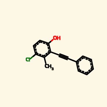 Cc1c(Cl)ccc(O)c1C#Cc1ccccc1